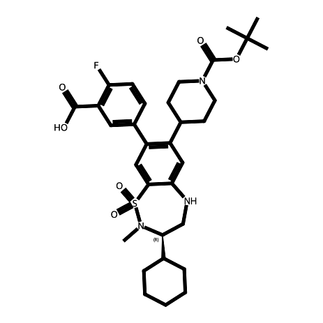 CN1[C@H](C2CCCCC2)CNc2cc(C3CCN(C(=O)OC(C)(C)C)CC3)c(-c3ccc(F)c(C(=O)O)c3)cc2S1(=O)=O